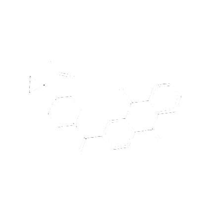 O=C1c2ccccc2C(=O)c2cc(C(=O)N3CCN(C4([SH](=O)=O)CC4)CC3)ccc21